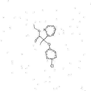 CCOC(=O)C(C)(Oc1ccc(Cl)cc1)c1ccccn1